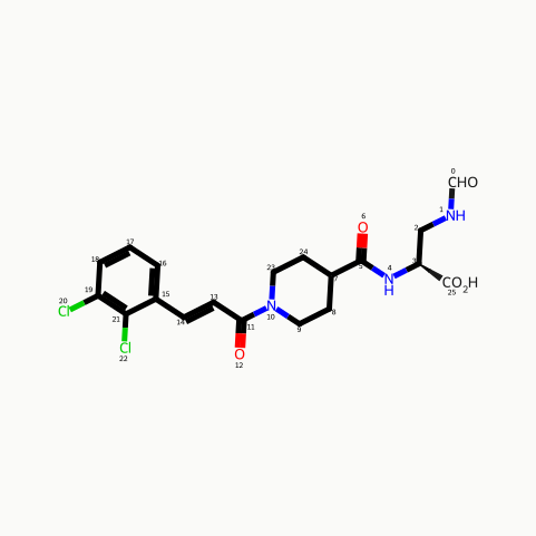 O=CNC[C@H](NC(=O)C1CCN(C(=O)/C=C/c2cccc(Cl)c2Cl)CC1)C(=O)O